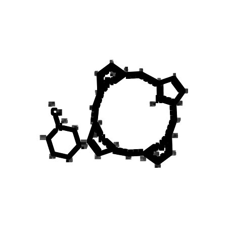 C1=Cc2cc3ccc(cc4nc(cc5ccc(cc1n2)[nH]5)C=C4)[nH]3.[Cu][N]1CCCCC1